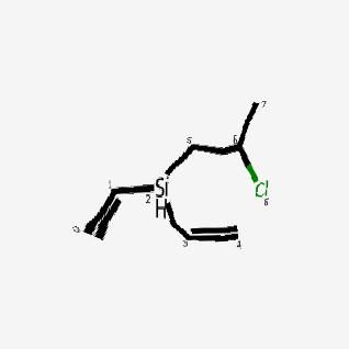 C=C[SiH](C=C)CC(C)Cl